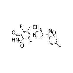 CCc1c(F)c2c(c(F)c1N1CCC(c3noc4cc(F)ccc34)CC1)C(=O)NC2=O